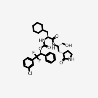 O=C(N[C@@H](CC1CCCCC1)C(=O)N[C@H](CO)C[C@@H]1CCNC1=O)O[C@@H](c1ccccc1)C(F)(F)c1cccc(Cl)c1